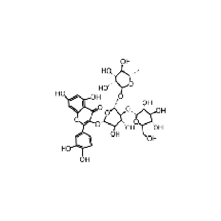 C[C@@H]1O[C@@H](OC[C@H]2O[C@@H](Oc3c(-c4ccc(O)c(O)c4)oc4cc(O)cc(O)c4c3=O)[C@H](O)[C@@H](O)[C@@H]2O[C@H]2O[C@H](CO)[C@@H](O)[C@H](O)[C@H]2O)[C@H](O)[C@H](O)[C@H]1O